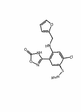 CNSc1cc(-c2noc(=O)[nH]2)c(NCc2ccco2)cc1Cl